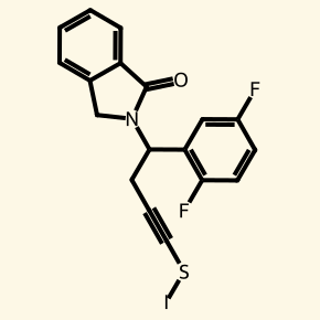 O=C1c2ccccc2CN1C(CC#CSI)c1cc(F)ccc1F